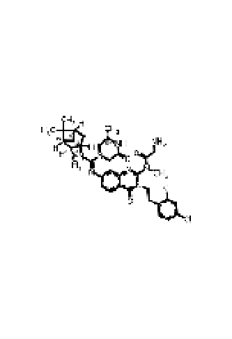 C[C@@H]1[C@@H](NC(=Nc2ccc3c(=O)n(CCc4ccc(Cl)cc4Cl)c(N(C)C(=O)CN)nc3c2)N2CC(=O)N[C@@H](C)C2)C[C@@H]2C[C@H]1C2(C)C